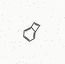 [C]1=Cc2ccccc21